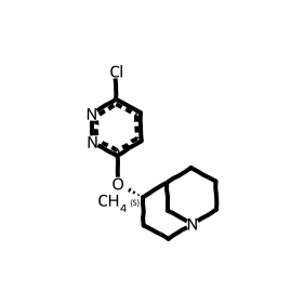 C.Clc1ccc(O[C@H]2CCN3CCCC2C3)nn1